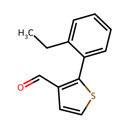 CCc1ccccc1-c1sccc1C=O